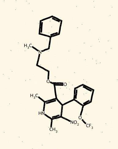 CC1=C(C(=O)OCCN(C)Cc2ccccc2)C(c2ccccc2OC(F)(F)F)C([N+](=O)[O-])=C(C)N1